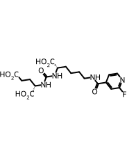 O=C(O)CC[C@H](NC(=O)N[C@@H](CCCCNC(=O)c1ccnc(F)c1)C(=O)O)C(=O)O